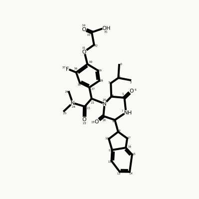 CC(C)CC1C(=O)NC(C2Cc3ccccc3C2)C(=O)N1C(C(=O)N(C)C)c1ccc(OCC(=O)O)c(F)c1